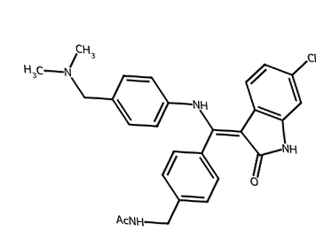 CC(=O)NCc1ccc(C(Nc2ccc(CN(C)C)cc2)=C2C(=O)Nc3cc(Cl)ccc32)cc1